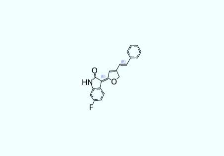 O=C1Nc2cc(F)ccc2/C1=C1C=C(/C=C/c2ccccc2)CO/1